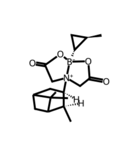 C[C@@H]1C[C@H]1[B-]12OC(=O)C[N+]1([C@@H]1CC3CC([C@@H]1C)C3(C)C)CC(=O)O2